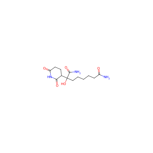 NC(=O)CCCCCC(O)(C(N)=O)C1CCC(=O)NC1=O